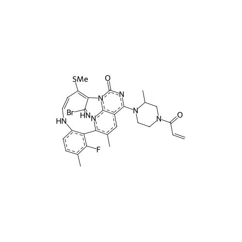 C=CC(=O)N1CCN(c2nc(=O)n3c4nc(c(C)cc24)-c2c(ccc(C)c2F)N/C=C\C(SC)=C\3C(=N)Br)C(C)C1